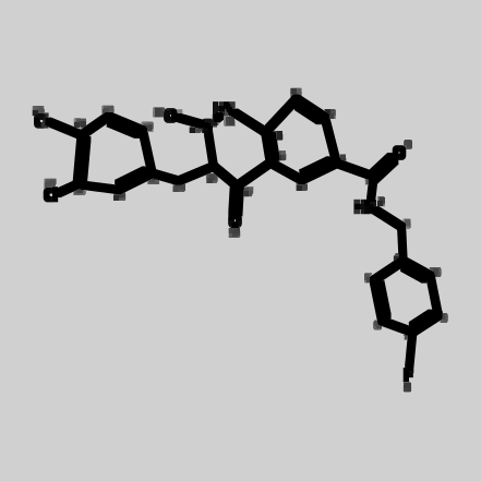 O=C(NCc1ccc(F)cc1)c1ccc2c(c1)C(=O)C(Cc1ccc(Cl)c(Cl)c1)[S+]([O-])N2